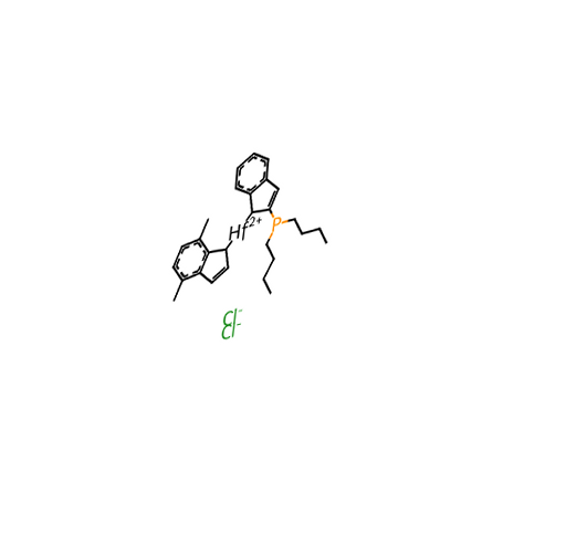 CCCCP(CCCC)C1=Cc2ccccc2[CH]1[Hf+2][CH]1C=Cc2c(C)ccc(C)c21.[Cl-].[Cl-]